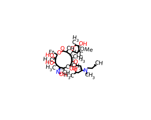 C#CCCN(C)C1CC(C)OC(O[C@@H]2[C@@H](C)[C@H](C3C[C@@](C)(OC)[C@@H](O)C(C)O3)C(C)C(=O)OC(CC)[C@@](C)(O)C(O)C(C)/C(=N/O)[C@H](C)C[C@@]2(C)O)C1